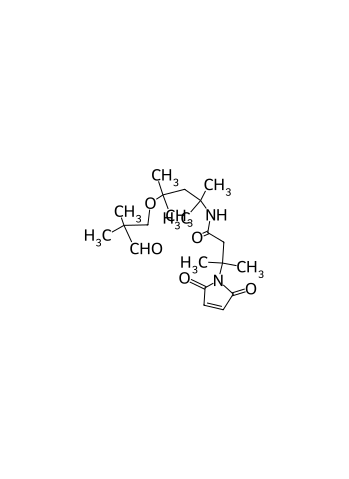 CC(C)(C=O)COC(C)(C)CC(C)(C)NC(=O)CC(C)(C)N1C(=O)C=CC1=O